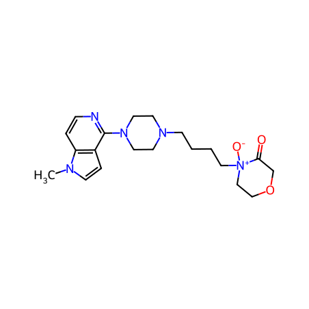 Cn1ccc2c(N3CCN(CCCC[N+]4([O-])CCOCC4=O)CC3)nccc21